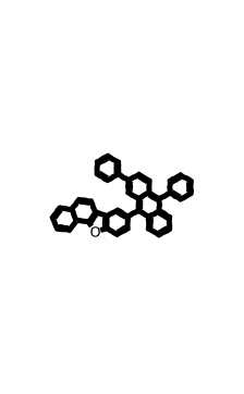 C1=CC2C=Cc3c(oc4ccc(-c5c6ccccc6c(-c6ccccc6)c6ccc(-c7ccccc7)cc56)cc34)C2C=C1